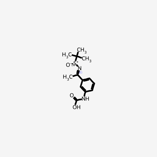 C/C(=N\[S@+]([O-])C(C)(C)C)c1cccc(NC(=O)O)c1